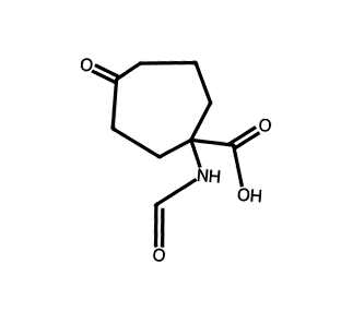 O=CNC1(C(=O)O)CCCC(=O)CC1